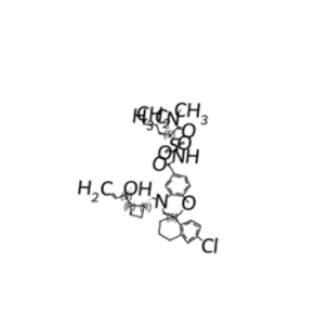 C=CCC[C@@H](C(=O)N(C)C)S(=O)(=O)NC(=O)c1ccc2c(c1)N(C[C@@H]1CC[C@H]1[C@@H](O)C=C)C[C@@]1(CCCc3cc(Cl)ccc31)CO2